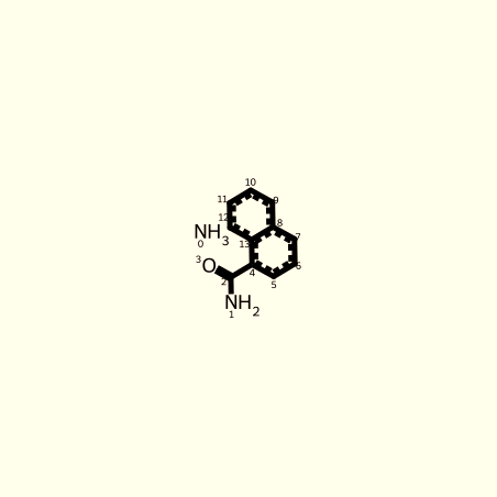 N.NC(=O)c1cccc2ccccc12